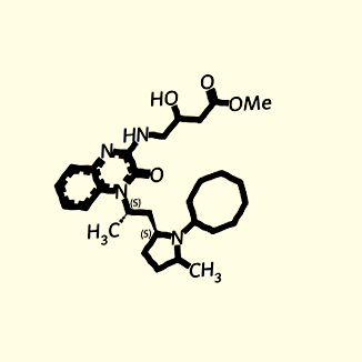 COC(=O)CC(O)CNc1nc2ccccc2n([C@@H](C)C[C@@H]2CCC(C)N2C2CCCCCCC2)c1=O